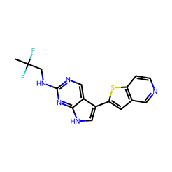 CC(F)(F)CNc1ncc2c(-c3cc4cnccc4s3)c[nH]c2n1